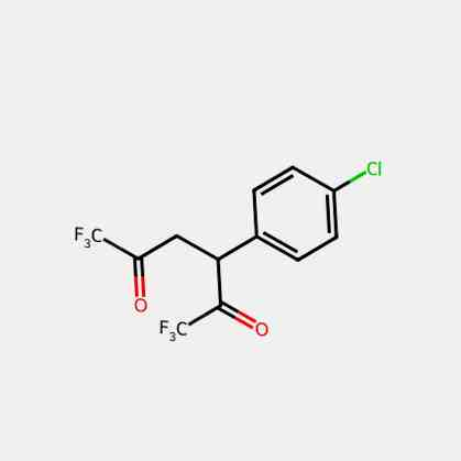 O=C(CC(C(=O)C(F)(F)F)c1ccc(Cl)cc1)C(F)(F)F